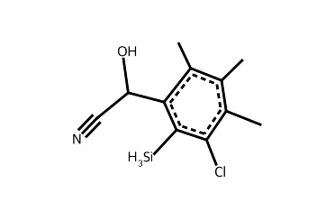 Cc1c(C)c(Cl)c([SiH3])c(C(O)C#N)c1C